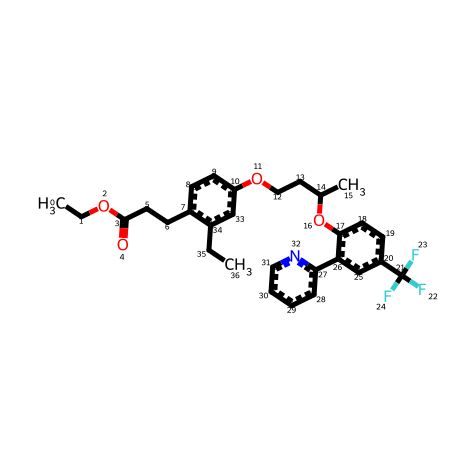 CCOC(=O)CCc1ccc(OCCC(C)Oc2ccc(C(F)(F)F)cc2-c2ccccn2)cc1CC